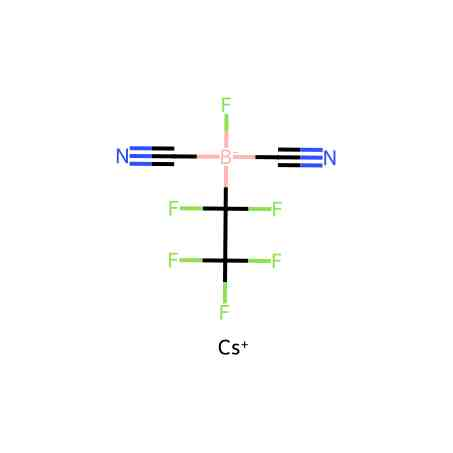 N#C[B-](F)(C#N)C(F)(F)C(F)(F)F.[Cs+]